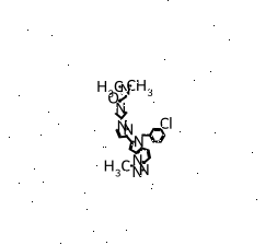 Cc1nnc2ccc3c(cc(-c4ccn(C5CN(C(=O)CN(C)C)C5)n4)n3Cc3cccc(Cl)c3)n12